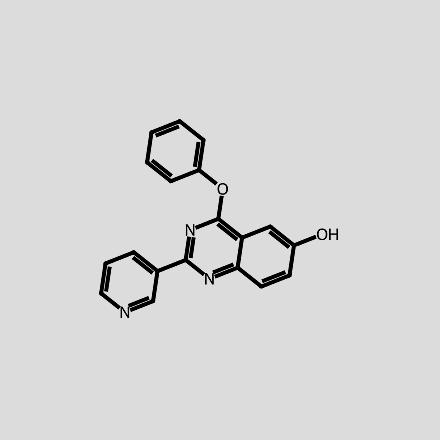 Oc1ccc2nc(-c3cccnc3)nc(Oc3ccccc3)c2c1